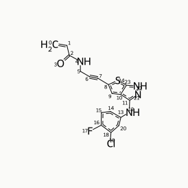 C=CC(=O)NCC#Cc1cc2c(Nc3ccc(F)c(Cl)c3)n[nH]c2s1